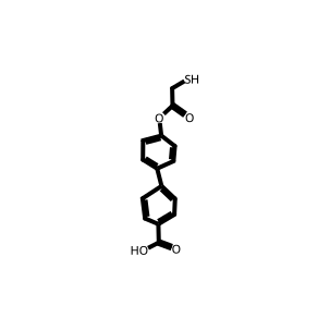 O=C(CS)Oc1ccc(-c2ccc(C(=O)O)cc2)cc1